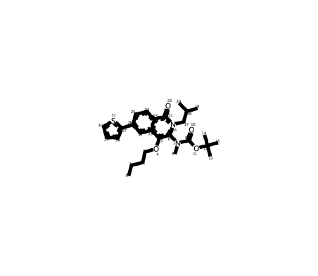 CCCCOc1c(N(C)C(=O)OC(C)(C)C)n(CC(C)C)c(=O)c2ccc(-c3cccs3)cc12